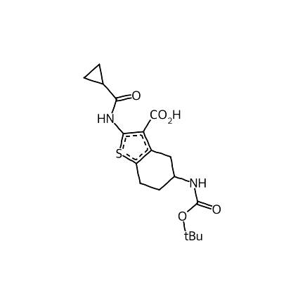 CC(C)(C)OC(=O)NC1CCc2sc(NC(=O)C3CC3)c(C(=O)O)c2C1